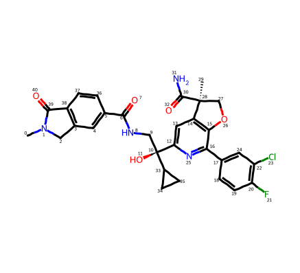 CN1Cc2cc(C(=O)NC[C@](O)(c3cc4c(c(-c5ccc(F)c(Cl)c5)n3)OC[C@]4(C)C(N)=O)C3CC3)ccc2C1=O